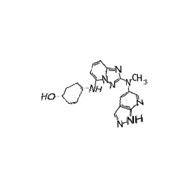 CN(c1cnc2[nH]ncc2c1)c1nc2cccc(N[C@H]3CC[C@@H](O)CC3)n2n1